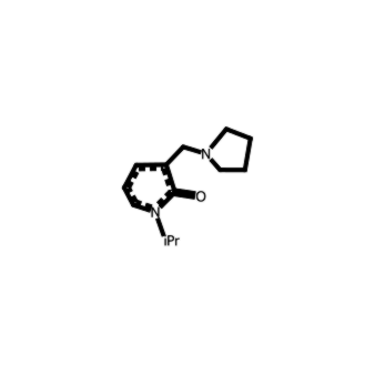 CC(C)n1cccc(CN2CCCC2)c1=O